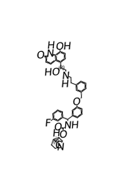 O=C(NC(c1cccc(F)c1)c1cccc(OCc2cccc(CCNC[C@H](O)c3ccc(O)c4[nH]c(=O)ccc34)c2)c1)O[C@H]1CN2CCC1CC2